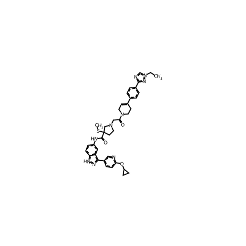 CCn1cnc(-c2ccc(C3=CCN(C(=O)CN4CCC(SC)(C(=O)Nc5ccc6[nH]nc(-c7ccc(OC8CC8)nc7)c6c5)C4)CC3)cc2)n1